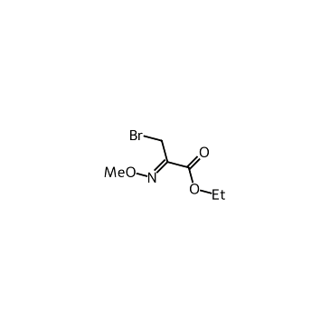 CCOC(=O)C(CBr)=NOC